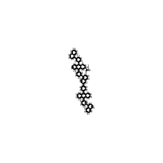 C[Si](C)(C)c1ccc2c(-c3cccc(-c4cccc5ccccc45)c3)c3ccccc3c(-c3cccc(-c4cccc5cc(-c6ccc(-c7c8ccccc8c(-c8cccc(-c9cccc%10ccccc9%10)c8)c8ccccc78)cc6)ccc45)c3)c2c1